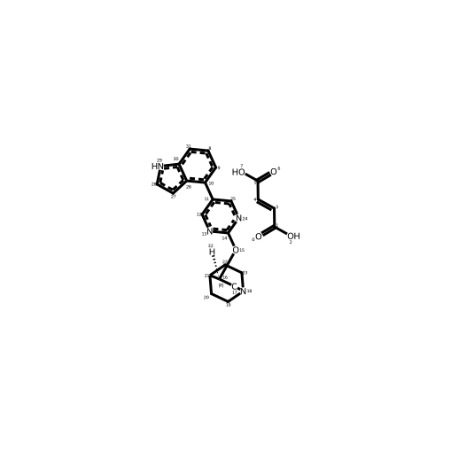 O=C(O)C=CC(=O)O.c1cc(-c2cnc(O[C@H]3CN4CCC3CC4)nc2)c2cc[nH]c2c1